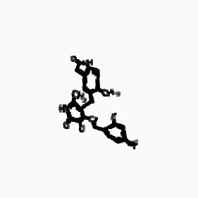 Cc1cc2c(cc1Cc1c(C)[nH]c(=O)c(Cl)c1OCc1ccc(F)cc1F)CC(=O)N2